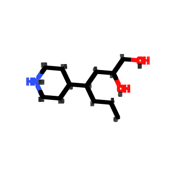 CCCC(CC(O)CO)C1CCNCC1